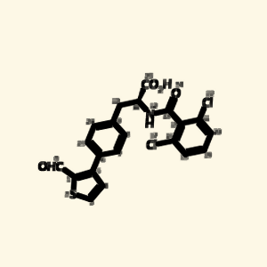 O=Cc1sccc1-c1ccc(C[C@H](NC(=O)c2c(Cl)cccc2Cl)C(=O)O)cc1